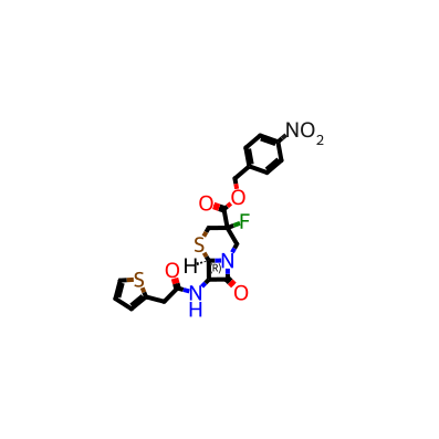 O=C(Cc1cccs1)NC1C(=O)N2CC(F)(C(=O)OCc3ccc([N+](=O)[O-])cc3)CS[C@H]12